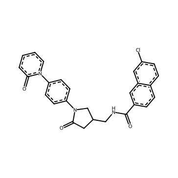 O=C(NCC1CC(=O)N(c2ccc(-n3ccccc3=O)cc2)C1)c1ccc2ccc(Cl)cc2c1